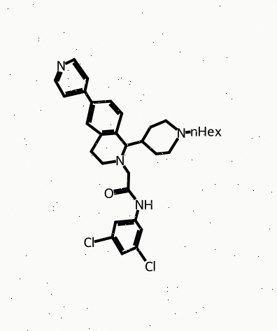 CCCCCCN1CCC(C2c3ccc(-c4ccncc4)cc3CCN2CC(=O)Nc2cc(Cl)cc(Cl)c2)CC1